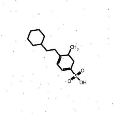 CC1CC(S(=O)(=O)O)=CC=C1CCC1CCCCC1